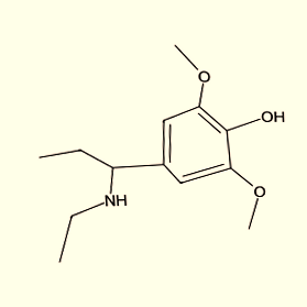 CCNC(CC)c1cc(OC)c(O)c(OC)c1